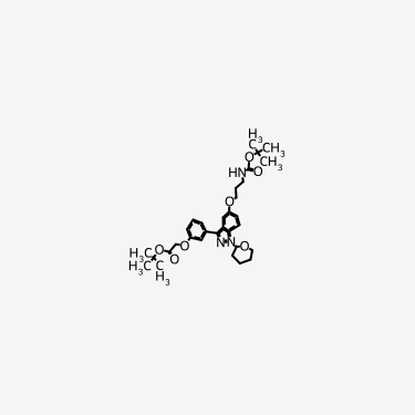 CC(C)(C)OC(=O)COc1cccc(-c2nn(C3CCCCO3)c3ccc(OCCCNC(=O)OC(C)(C)C)cc23)c1